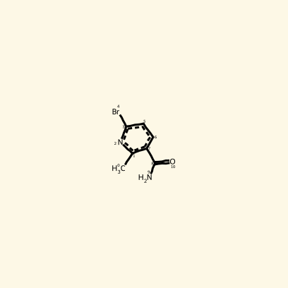 Cc1nc(Br)ccc1C(N)=O